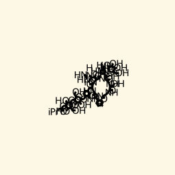 CC(C)CC(=O)OC1C(O)C(CO)OC(OC2C(CO)OC(Oc3ccc(CC4NC(=O)C(C(C)c5ccccc5)NC(=O)CNC(=O)C(CO)NC(=O)C(C(O)C5CNC(=N)N5C5OC(CO)C(O)C(O)C5O)NC(=O)C(C(O)C5CNC(=N)N5)NC4=O)cc3N)C(O)C2O)C1O